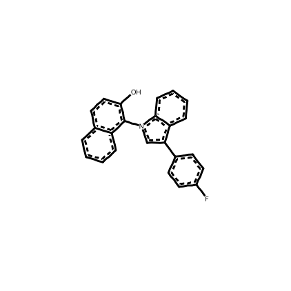 Oc1ccc2ccccc2c1-n1cc(-c2ccc(F)cc2)c2ccccc21